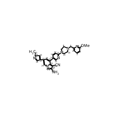 COc1cccc(CN2CCN(c3ccc(-c4cc(-c5cnn(C)c5)cn5nc(N)c(C#N)c45)cn3)CC2)n1